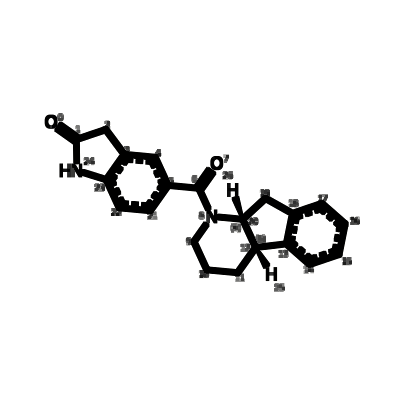 O=C1Cc2cc(C(=O)N3CCC[C@H]4c5ccccc5C[C@H]43)ccc2N1